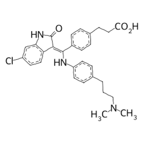 CN(C)CCCc1ccc(NC(=C2C(=O)Nc3cc(Cl)ccc32)c2ccc(CCC(=O)O)cc2)cc1